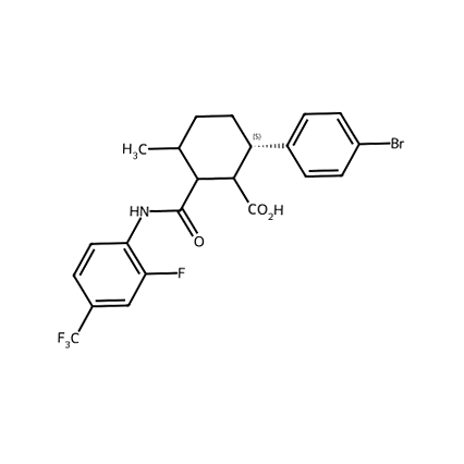 CC1CC[C@H](c2ccc(Br)cc2)C(C(=O)O)C1C(=O)Nc1ccc(C(F)(F)F)cc1F